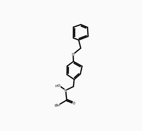 CC(C)(C)C(=O)N(O)Cc1ccc(OCc2ccccc2)cc1